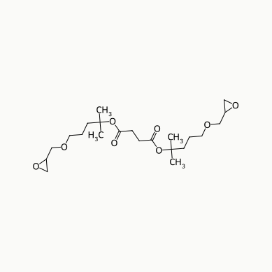 CC(C)(CCCOCC1CO1)OC(=O)CCC(=O)OC(C)(C)CCCOCC1CO1